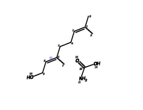 CC(C)=CCC/C(C)=C/CO.NC(=O)O